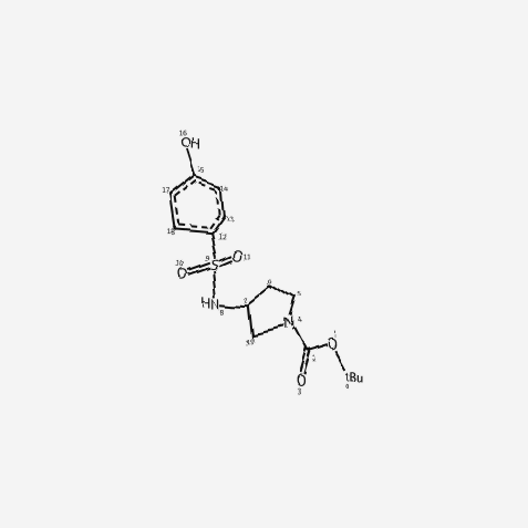 CC(C)(C)OC(=O)N1CCC(NS(=O)(=O)c2ccc(O)cc2)C1